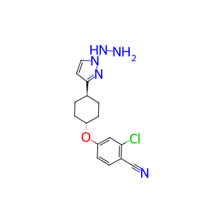 N#Cc1ccc(O[C@H]2CC[C@H](c3ccn(NN)n3)CC2)cc1Cl